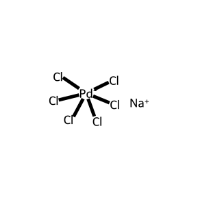 [Cl][Pd-]([Cl])([Cl])([Cl])([Cl])[Cl].[Na+]